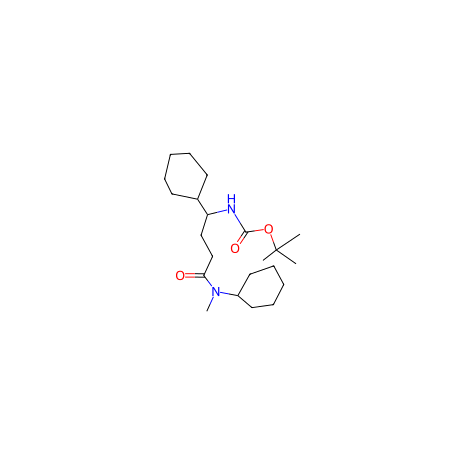 CN(C(=O)CCC(NC(=O)OC(C)(C)C)C1CCCCC1)C1CCCCC1